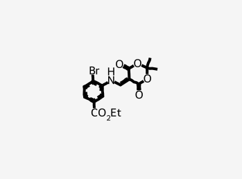 CCOC(=O)c1ccc(Br)c(NC=C2C(=O)OC(C)(C)OC2=O)c1